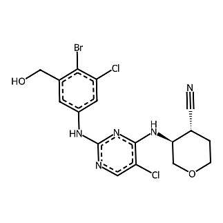 N#C[C@@H]1CCOC[C@H]1Nc1nc(Nc2cc(Cl)c(Br)c(CO)c2)ncc1Cl